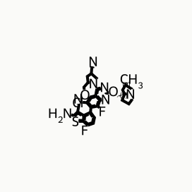 C[C@H]1CN2CCC[C@@]2(COc2nc3c4c(c(Cl)c(-c5ccc(F)c6sc(N)c(C#N)c56)c(F)c4n2)OCC2CC(C#N)CN32)C1